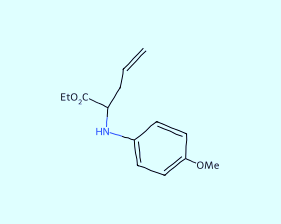 C=CCC(Nc1ccc(OC)cc1)C(=O)OCC